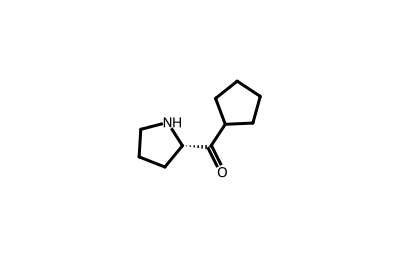 O=C(C1CCCC1)[C@@H]1CCCN1